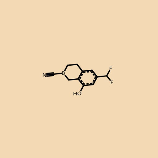 N#CB1CCc2cc(C(F)F)cc(O)c2C1